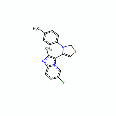 Cc1ccc(N2CSC=C2c2c(C)nc3ccc(F)cn23)cc1